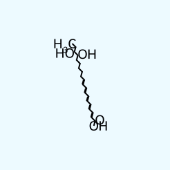 CCC(O)C(O)CCCCCC=CC=CC=CC=CC=CC(=O)O